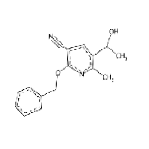 Cc1nc(OCc2ccccc2)c(C#N)cc1C(C)O